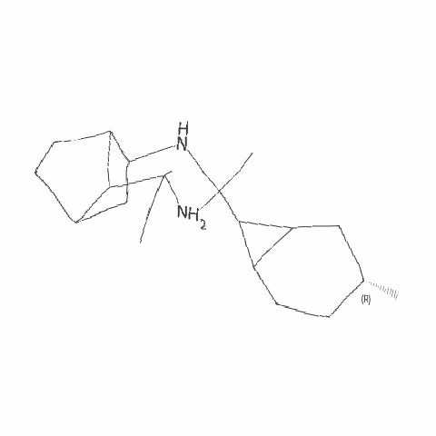 C[C@@H]1CCC2C(C1)C2C(C)(C)NC1CC2CCC1C2C(C)(C)N